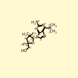 CN(C)c1nc(N)nc2c1ncn2[C@@H]1O[C@](F)(CO)C[C@@]1(C)F